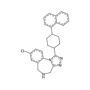 Clc1ccc2c(c1)CNCc1nnc(C3CCC(c4cccc5ccccc45)CC3)n1-2